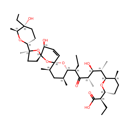 CC[C@@H](C(=O)[C@@H](C)[C@@H](O)[C@H](C)[C@@H]1O[C@@H]([C@@H](CC)C(=O)O)CC[C@@H]1C)[C@H]1O[C@]2(C=C[C@H](O)[C@]3(CC[C@@](C)([C@H]4CC[C@](O)(CC)[C@H](C)O4)O3)O2)[C@H](C)C[C@@H]1C